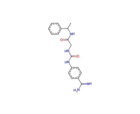 CC(NC(=O)CNC(=O)Nc1ccc(C(=N)N)cc1)c1ccccc1